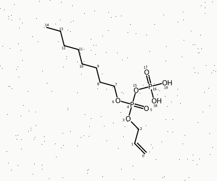 C=CCOP(=O)(OCCCCCCCC)OP(=O)(O)O